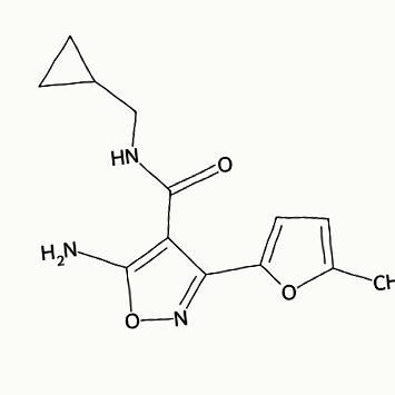 Cc1ccc(-c2noc(N)c2C(=O)NCC2CC2)o1